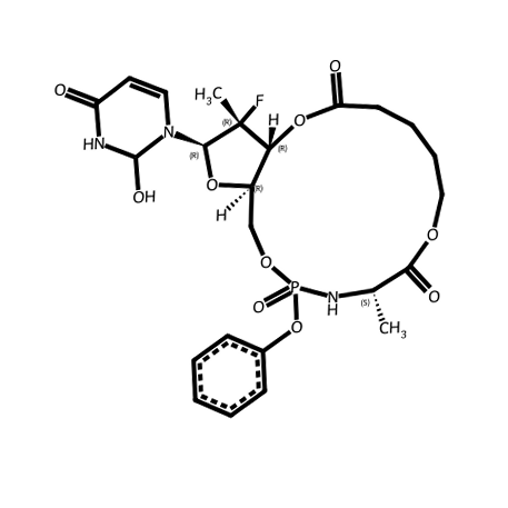 C[C@@H]1NP(=O)(Oc2ccccc2)OC[C@H]2O[C@@H](N3C=CC(=O)NC3O)[C@](C)(F)[C@@H]2OC(=O)CCCCOC1=O